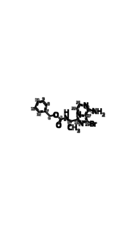 C[C@H](NC(=O)OCc1ccccc1)c1nc(Br)c2c(N)nccn12